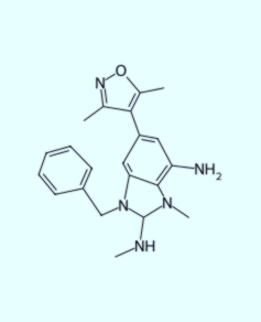 CNC1N(C)c2c(N)cc(-c3c(C)noc3C)cc2N1Cc1ccccc1